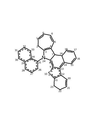 C1=CCC2=C(C=C1)C1C(=c3sc4c(c3=C3C=CC=CC31)C=CCC4)N2c1cccc2ccccc12